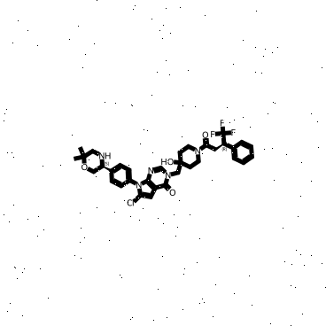 CC1(C)CN[C@@H](c2ccc(-n3c(Cl)cc4c(=O)n(CC5(O)CCN(C(=O)C[C@H](c6ccccc6)C(F)(F)F)CC5)cnc43)cc2)CO1